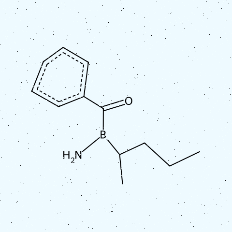 CCCC(C)B(N)C(=O)c1ccccc1